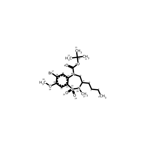 CCCCC1CN(C(=O)OC(C)(C)C)c2cc(Br)c(OC)cc2S(=O)(=O)N1C